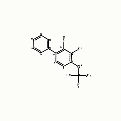 Fc1c(OC(F)(F)F)ccc(-c2ccccc2)c1F